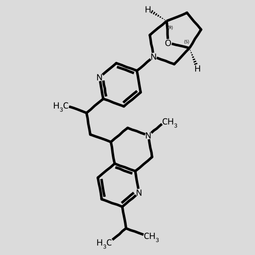 CC(C)c1ccc2c(n1)CN(C)CC2CC(C)c1ccc(N2C[C@H]3CC[C@@H](C2)O3)cn1